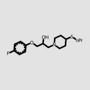 CCCSC1CCN(CC(O)COc2ccc(F)cc2)CC1